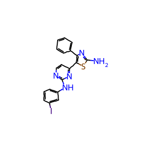 Nc1nc(-c2ccccc2)c(-c2ccnc(Nc3cccc(I)c3)n2)s1